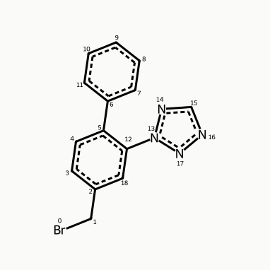 BrCc1ccc(-c2ccccc2)c(-n2ncnn2)c1